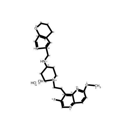 COc1ccc2ncc(F)c(CCN3CCC(NCc4cc5c(cn4)OCCC5)CC3)c2n1.Cl.Cl